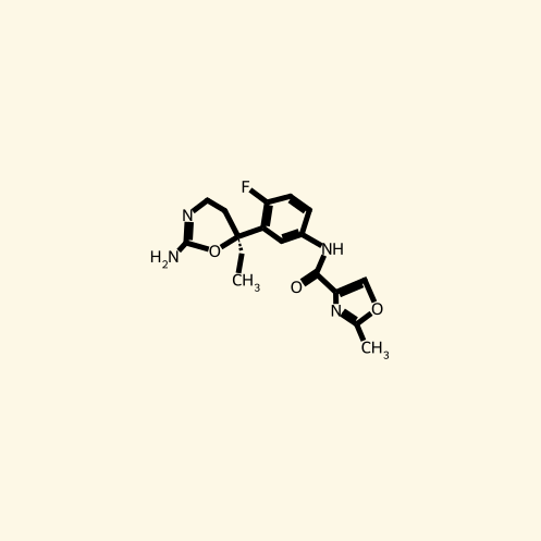 CC[C@@]1(c2cc(NC(=O)c3coc(C)n3)ccc2F)CCN=C(N)O1